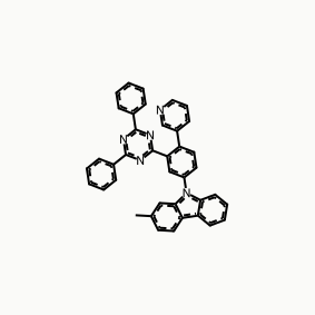 Cc1ccc2c3ccccc3n(-c3ccc(-c4cccnc4)c(-c4nc(-c5ccccc5)nc(-c5ccccc5)n4)c3)c2c1